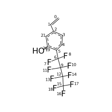 C=Cc1ccc(C(F)(F)C(F)(F)C(F)(F)C(F)(F)F)c(O)c1